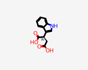 O=C(O)C[C@@H](C(=O)O)c1c[nH]c2ccccc12